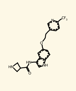 O=C(Nc1c[nH]c2ccc(OCCc3ccc(C(F)(F)F)nc3)cc12)C1CNC1